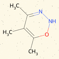 CC1=NNOC(C)=C1C